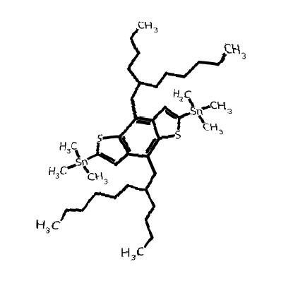 CCCCCCC(CCCC)Cc1c2c[c]([Sn]([CH3])([CH3])[CH3])sc2c(CC(CCCC)CCCCCC)c2c[c]([Sn]([CH3])([CH3])[CH3])sc12